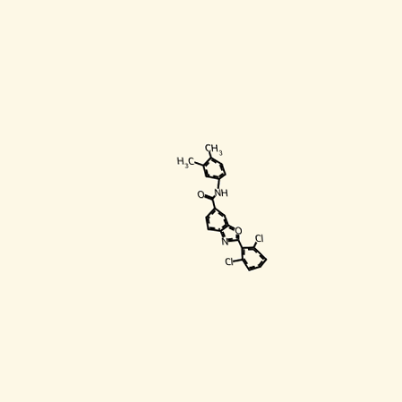 Cc1ccc(NC(=O)c2ccc3nc(-c4c(Cl)cccc4Cl)oc3c2)cc1C